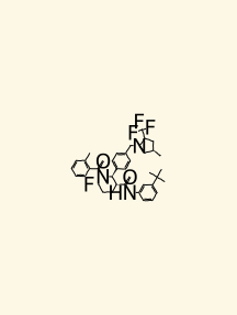 Cc1cccc(F)c1C(=O)N1CCC[C@H](C(=O)Nc2cccc(C(C)(C)C)c2)[C@@H]1c1ccc(CN2C[C@H](C)CC2C(F)(F)F)cc1